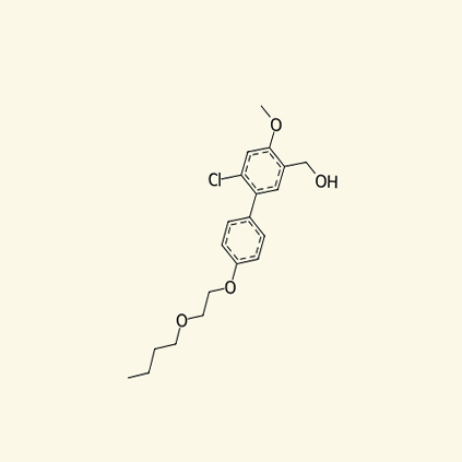 CCCCOCCOc1ccc(-c2cc(CO)c(OC)cc2Cl)cc1